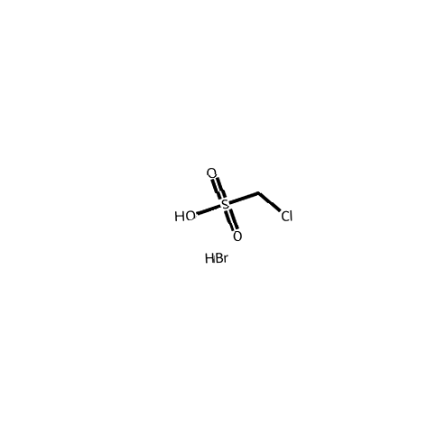 Br.O=S(=O)(O)CCl